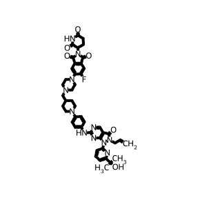 C=CCn1c(=O)c2cnc(Nc3ccc(N4CCC(CN5CCN(c6cc7c(cc6F)C(=O)N(C6CCC(=O)NC6=O)C7=O)CC5)CC4)cc3)nc2n1-c1cccc(C(C)(C)O)n1